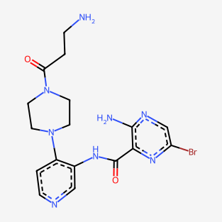 NCCC(=O)N1CCN(c2ccncc2NC(=O)c2nc(Br)cnc2N)CC1